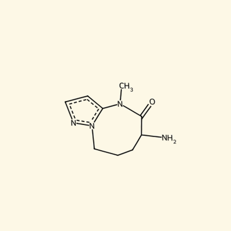 CN1C(=O)C(N)CCCn2nccc21